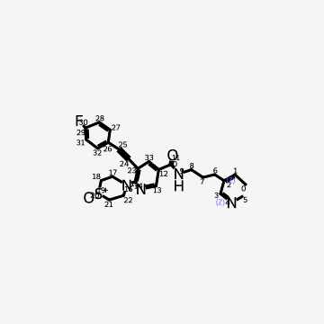 C/C=C(\C=N/C)CCCNC(=O)c1cnc(N2CC[S+]([O-])CC2)c(C#Cc2ccc(F)cc2)c1